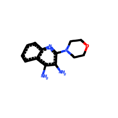 Nc1c(N2CCOCC2)nc2ccccc2c1N